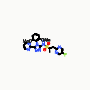 COc1cccc(OC)c1-n1c(NS(=O)(=O)[C@H](C)Cc2ncc(F)cn2)nnc1-c1ncccn1